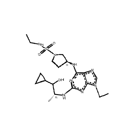 CCNS(=O)(=O)N1CC[C@H](Nc2nc(N[C@H](C)C(O)C3CC3)nc3c2ncn3CC)C1